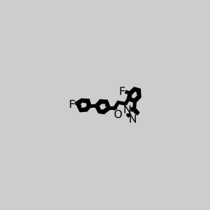 O=C(CC1c2c(F)cccc2-c2cncn21)c1ccc(-c2ccc(F)cc2)cc1